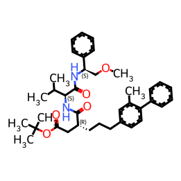 COC[C@@H](NC(=O)[C@@H](NC(=O)[C@H](CCCc1ccc(-c2ccccc2)c(C)c1)CC(=O)OC(C)(C)C)C(C)C)c1ccccc1